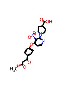 COC(=O)CC(=O)c1ccc(Oc2ccnc(N3CCC(C(=O)O)CC3)c2[N+](=O)[O-])cc1